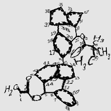 C=CC(=O)OC1c2ccccc2-c2ccc(-c3ccc4c(c3)C(OC(=O)C(C)(C)C)c3cccc5cccc-4c35)c3cccc1c23